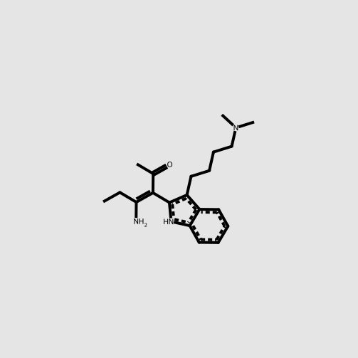 CCC(N)=C(C(C)=O)c1[nH]c2ccccc2c1CCCCN(C)C